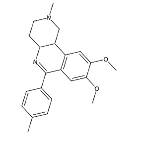 COc1cc2c(cc1OC)C1CN(C)CCC1N=C2c1ccc(C)cc1